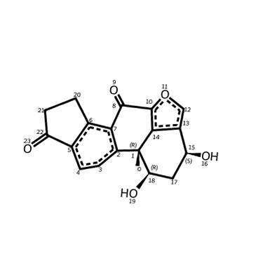 C[C@@]12c3ccc4c(c3C(=O)c3occ(c31)[C@@H](O)C[C@H]2O)CCC4=O